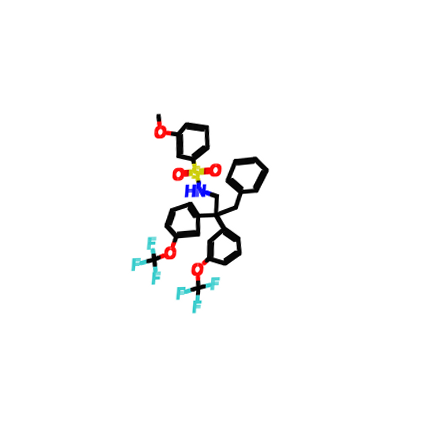 COc1cccc(S(=O)(=O)NCC(Cc2ccccc2)(c2cccc(OC(F)(F)F)c2)c2cccc(OC(F)(F)F)c2)c1